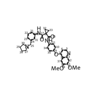 COc1cc2nccc(Oc3ccc(NC(=O)C4(C(=O)Nc5cccc(CN6CCCC6)c5)CC4)cc3)c2cc1OC